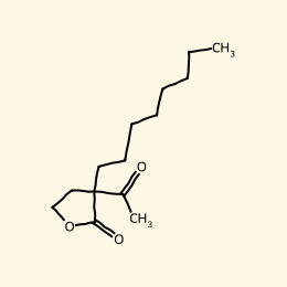 CCCCCCCCC1(C(C)=O)CCOC1=O